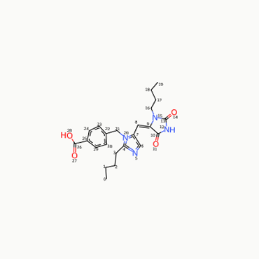 CCCCc1ncc(/C=C2\C(=O)NC(=O)N2CCCC)n1Cc1ccc(C(=O)O)cc1